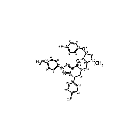 CN1CC(Oc2ccc(F)cc2)CC1CN(CCc1ccc(F)cc1)C(=O)c1cnn(-c2ccc(P)cc2)n1